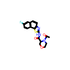 CC(=O)N1CCOCC1C(=O)Nc1nc2ccc3cc(F)ccc3c2s1